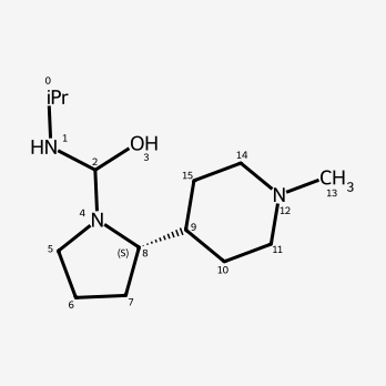 CC(C)NC(O)N1CCC[C@H]1C1CCN(C)CC1